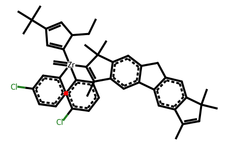 [CH2]=[Zr]([C]1=CC(C(C)(C)C)=CC1CC)([C]1=C(C)c2cc3c(cc2C1(C)C)Cc1cc2c(cc1-3)C(C)=CC2(C)C)([c]1cccc(Cl)c1)[c]1cccc(Cl)c1